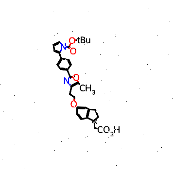 Cc1oc(-c2ccc(-c3cccn3C(=O)OC(C)(C)C)cc2)nc1CCOc1ccc2c(c1)CC[C@H]2CC(=O)O